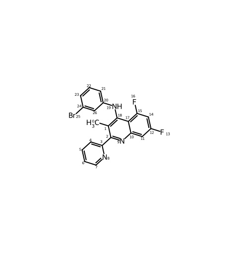 Cc1c(-c2ccccn2)nc2cc(F)cc(F)c2c1Nc1cccc(Br)c1